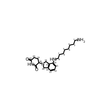 NCCCCCCCCNc1cccc2c1CN(C1CCC(=O)NC1=O)C2